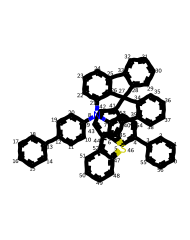 c1ccc(-c2ccc(N(c3ccc(-c4ccccc4)cc3)c3cccc4c3C3(c5ccccc5-4)c4ccccc4-c4c3ccc3c4sc4ccccc43)cc2)cc1